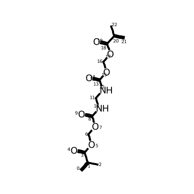 C=C(C)C(=O)OCOC(=O)NCNC(=O)OCOC(=O)C(=C)C